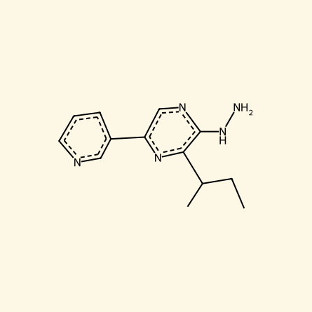 CCC(C)c1nc(-c2cccnc2)cnc1NN